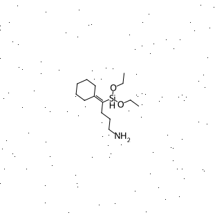 CCO[SiH](OCC)C(CCCN)=C1CCCCC1